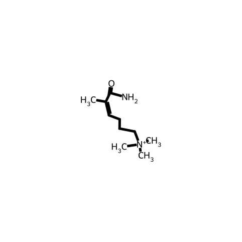 CC(=CCCC[N+](C)(C)C)C(N)=O